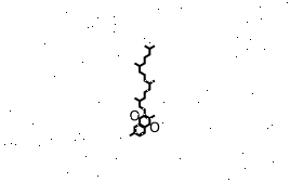 CC1=C(CCC(C)CCCC(C)CCCC(C)CCCC(C)C)C(=O)c2cc(C)ccc2C1=O